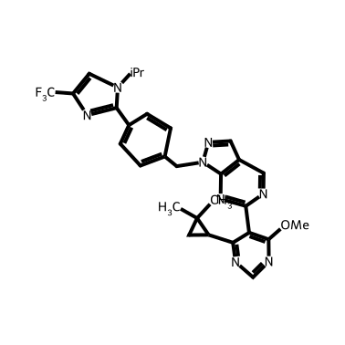 COc1ncnc(C2CC2(C)C)c1-c1ncc2cnn(Cc3ccc(-c4nc(C(F)(F)F)cn4C(C)C)cc3)c2n1